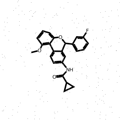 COc1cccc2c1-c1ccc(NC(=O)C3CC3)cc1C(c1cccc(F)c1)O2